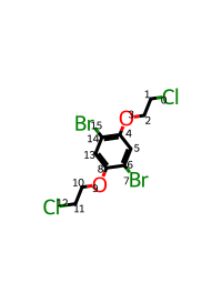 ClCCOc1cc(Br)c(OCCCl)cc1Br